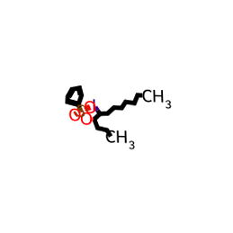 CCCCCCCC(I)C(CCC)OS(=O)(=O)c1ccccc1